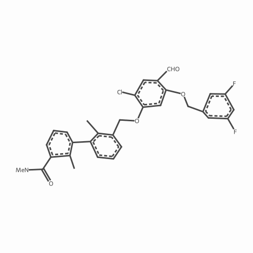 CNC(=O)c1cccc(-c2cccc(COc3cc(OCc4cc(F)cc(F)c4)c(C=O)cc3Cl)c2C)c1C